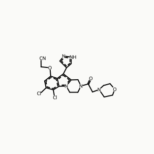 N#CCOc1cc(Cl)c(Cl)c2c1c(-c1cn[nH]c1)c1n2CCN(C(=O)CN2CCOCC2)C1